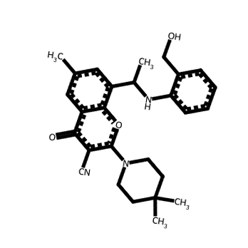 Cc1cc(C(C)Nc2ccccc2CO)c2oc(N3CCC(C)(C)CC3)c(C#N)c(=O)c2c1